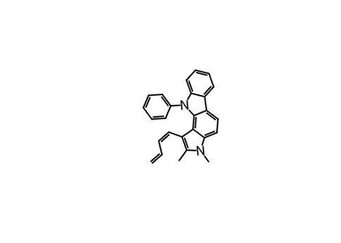 C=C/C=C\c1c(C)n(C)c2ccc3c4ccccc4n(-c4ccccc4)c3c12